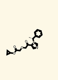 C[C@H](c1ccccc1)n1cncc1C(=O)COCC(=O)OC1CC1